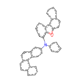 c1ccc(N(c2ccc3c(ccc4ccc5ccccc5c43)c2)c2cccc3c2oc2ccc4ccccc4c23)cc1